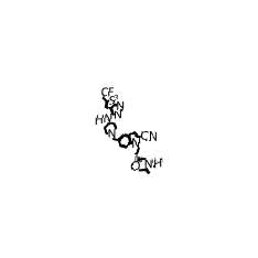 C=C1CO[C@H](CCn2c(C#N)cc3cc(CN4CCC(Nc5ncnc6sc(CC(F)(F)F)cc56)CC4)ccc32)CN1